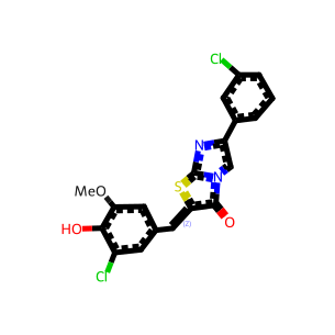 COc1cc(/C=c2\sc3nc(-c4cccc(Cl)c4)cn3c2=O)cc(Cl)c1O